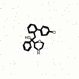 OC(Cc1ccccc1-c1ccc(Cl)cc1)(c1ccccc1)C1CNCCO1